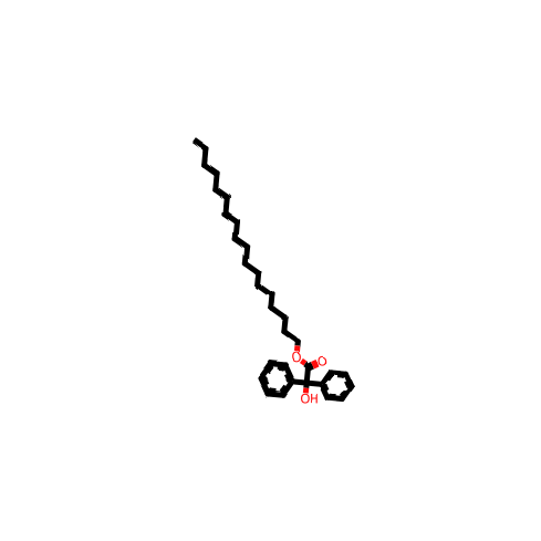 CCCCCCCCCCCCCCCCCCOC(=O)C(O)(c1ccccc1)c1ccccc1